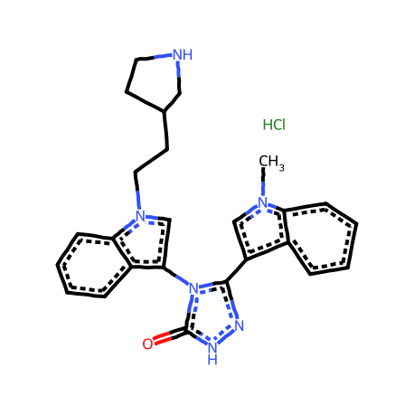 Cl.Cn1cc(-c2n[nH]c(=O)n2-c2cn(CCC3CCNC3)c3ccccc23)c2ccccc21